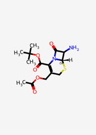 CC(=O)OCC1=C(C(=O)OC(C)(C)C)N2C(=O)C(N)[C@@H]2SC1